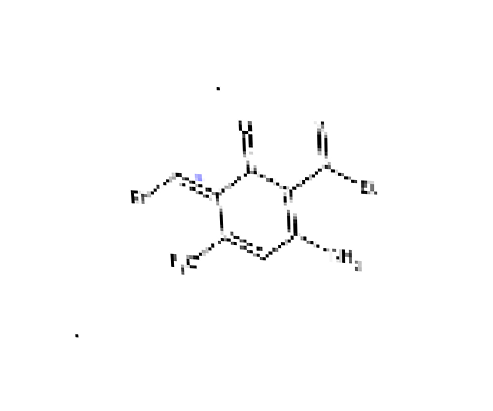 C=C(CC)C1=C(N)C=C(C(F)(F)F)/C(=C\CC)C1=O